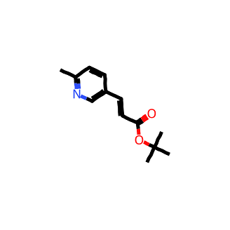 Cc1ccc(/C=C/C(=O)OC(C)(C)C)cn1